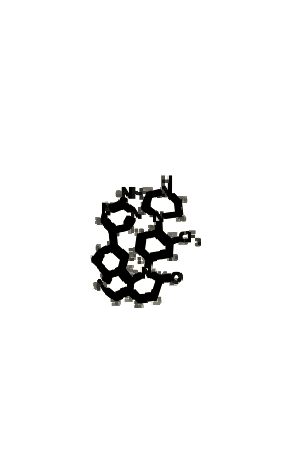 Nc1ncc(-c2ccc3ncc4ccc(=O)n(-c5ccc(N6CCNCC6)c(C(F)(F)F)c5)c4c3c2)cn1